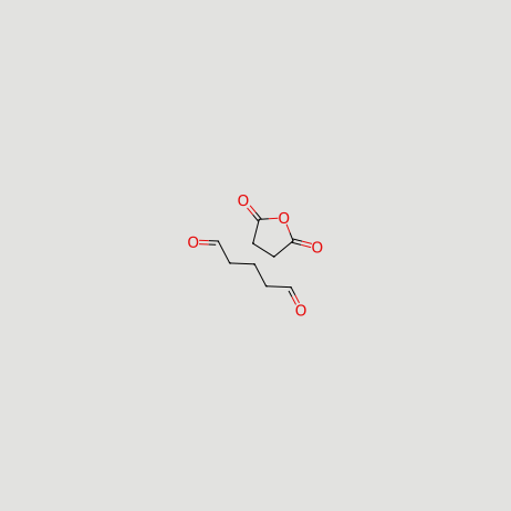 O=C1CCC(=O)O1.O=CCCCC=O